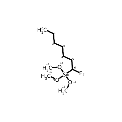 CCCCCCC(F)[Si](OC)(OC)OC